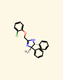 C[C@@]1(c2ccccc2)N=C(COc2ccccc2Cl)N[C@@H]1c1ccccc1